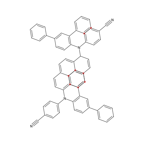 N#Cc1ccc(N(C2=C3C=CC4=C5C(=CC=C(C=C2)C35)C(N(c2ccc(C#N)cc2)c2ccc(-c3ccccc3)cc2-c2ccccc2)C=C4)c2ccc(-c3ccccc3)cc2-c2ccccc2)cc1